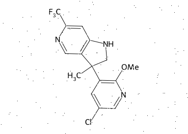 COc1ncc(Cl)cc1C1(C)CNc2cc(C(F)(F)F)ncc21